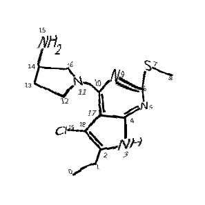 CCc1[nH]c2nc(SC)nc(N3CCC(N)C3)c2c1Cl